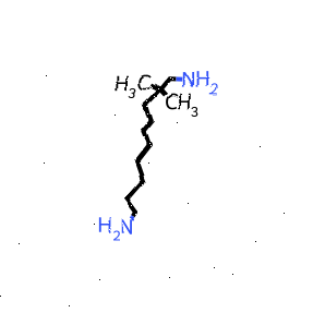 CC(C)(CN)CCCCCCCCN